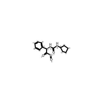 O=NC(=O)[C@H](NC(=O)NC1CCCC1)c1ccccc1